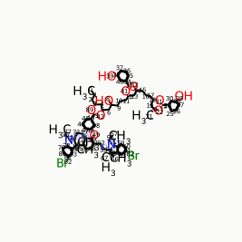 CCCC1CC(CC(O)CCCC2CC(CCCC3CC(C)OC(c4cccc(O)c4)O3)OC(c3cccc(O)c3)O2)OC(c2cccc(OC3=C(/C=C/C4=[N+](CC)c5ccc(Br)cc5C4(C)C)CCC/C3=C\C=C3\N(CC)c4ccc(Br)cc4C3(C)C)c2)O1